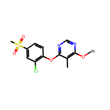 Cc1c(Oc2ccc(S(C)(=O)=O)cc2Cl)ncnc1OC(C)C